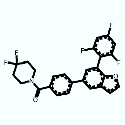 O=C(c1ccc(-c2cc(-c3c(F)cc(F)cc3F)c3occc3c2)cc1)N1CCC(F)(F)CC1